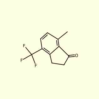 Cc1ccc(C(F)(F)F)c2c1C(=O)CC2